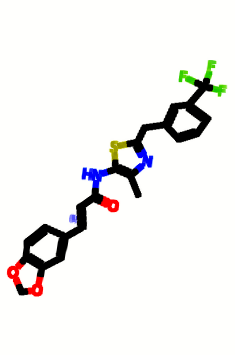 Cc1nc(Cc2cccc(C(F)(F)F)c2)sc1NC(=O)/C=C/c1ccc2c(c1)OCO2